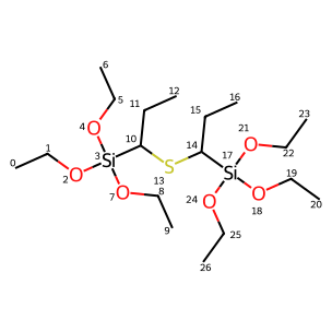 CCO[Si](OCC)(OCC)C(CC)SC(CC)[Si](OCC)(OCC)OCC